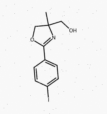 CC1(CO)COC(c2ccc(I)cc2)=N1